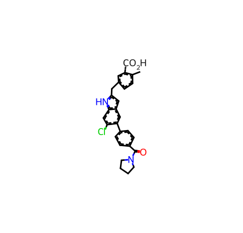 Cc1ccc(Cc2cc3cc(-c4ccc(C(=O)N5CCCC5)cc4)c(Cl)cc3[nH]2)cc1C(=O)O